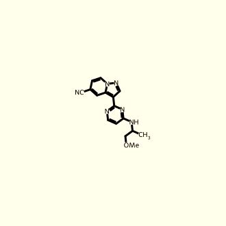 COCC(C)Nc1ccnc(-c2cnn3ccc(C#N)cc23)n1